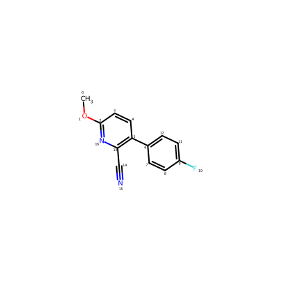 COc1ccc(-c2ccc(F)cc2)c(C#N)n1